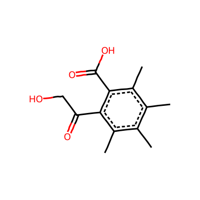 Cc1c(C)c(C)c(C(=O)CO)c(C(=O)O)c1C